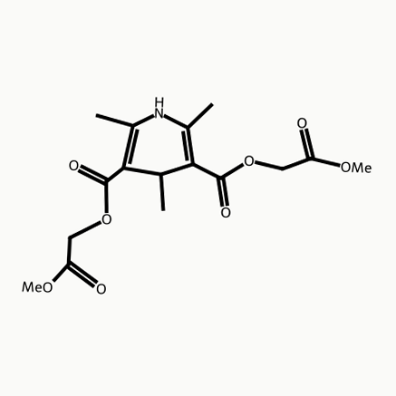 COC(=O)COC(=O)C1=C(C)NC(C)=C(C(=O)OCC(=O)OC)C1C